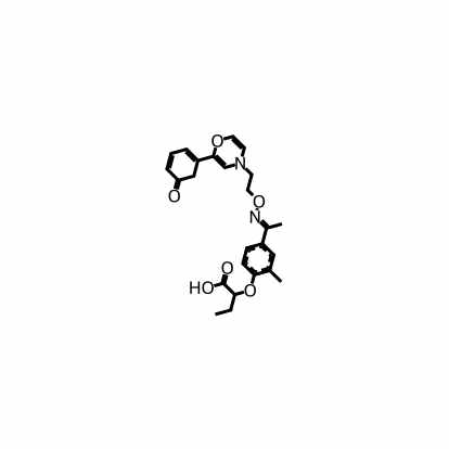 CCC(Oc1ccc(C(C)=NOCCN2C=COC(C3=CC=CC(=O)C3)=C2)cc1C)C(=O)O